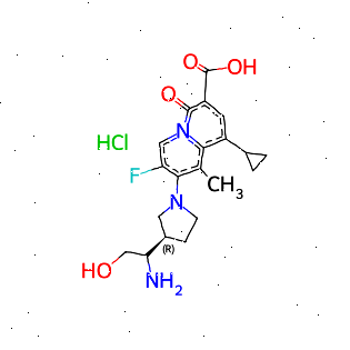 Cc1c(N2CC[C@@H](C(N)CO)C2)c(F)cn2c(=O)c(C(=O)O)cc(C3CC3)c12.Cl